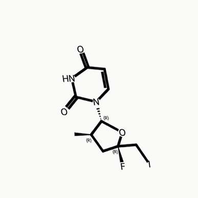 C[C@@H]1C[C@@](F)(CI)O[C@H]1n1ccc(=O)[nH]c1=O